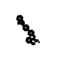 CC(Cc1ccc(-c2ccc(CCc3ccccc3S(=O)(=O)O)cc2)cc1)c1ccccc1S